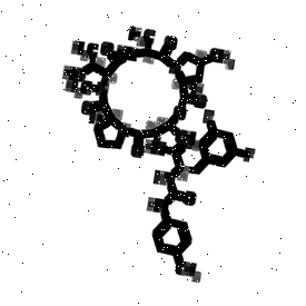 Cc1ccc(NC(=O)N[C@@H](Cc2cc(F)cc(F)c2)C(=O)N[C@@H]2C(=O)N3CCC[C@H]3C(=O)N(C)[C@@H]([C@@H](C)O)C(=O)N[C@@H](C)C(=O)N3C[C@@H](C)C[C@H]3C(=O)O[C@H]2C)cc1